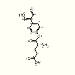 N[C@H](CCC(=O)O)C(=O)Oc1ccc(C([C]=O)=NO)cc1